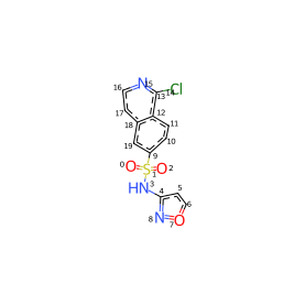 O=S(=O)(Nc1ccon1)c1ccc2c(Cl)nccc2c1